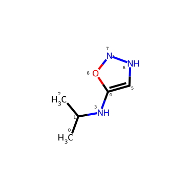 CC(C)NC1=CN[N]O1